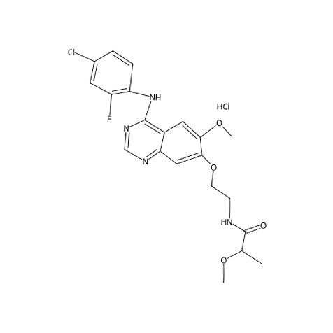 COc1cc2c(Nc3ccc(Cl)cc3F)ncnc2cc1OCCNC(=O)C(C)OC.Cl